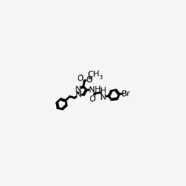 COC(=O)c1nn(CCc2ccccc2)cc1NC(=O)CNc1ccc(Br)cc1